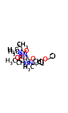 CC(C)CC(C(=O)NCCC(=O)NC(C)(C)Cc1ccc(OCc2ccccc2)cc1)N(C)C(=O)OC(C)(C)C